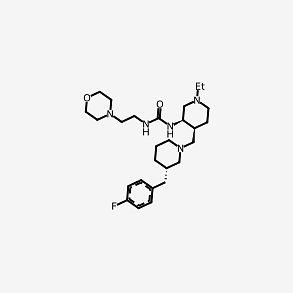 CCN1CC[C@@H](CN2CCC[C@@H](Cc3ccc(F)cc3)C2)[C@@H](NC(=O)NCCN2CCOCC2)C1